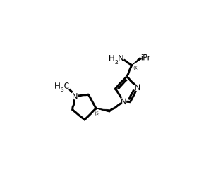 CC(C)[C@H](N)c1cn(C[C@H]2CCN(C)C2)cn1